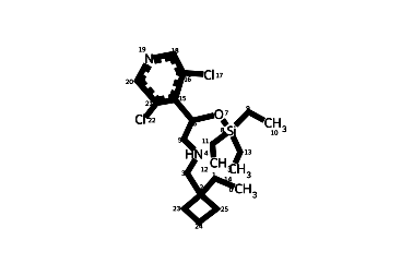 CCC1(CNCC(O[Si](CC)(CC)CC)c2c(Cl)cncc2Cl)CCC1